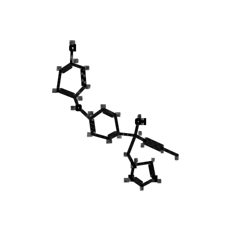 CC#CC(O)(Cn1cncn1)c1ccc(Oc2ccc(Cl)cc2)cc1